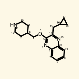 c1ccc2nc(OCC3CCNCC3)c(CC3CC3)nc2c1